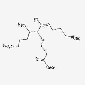 CCCCCCCCCCCCCC=C(CC)C(SCCC(=O)OC)C(O)CCCC(=O)O